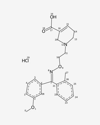 COc1cccc(C(=NOCCN2CCC=C(C(=O)O)C2)c2ccccc2C)c1.Cl